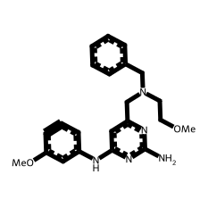 COCCN(Cc1ccccc1)Cc1cc(Nc2cc#cc(OC)c2)nc(N)n1